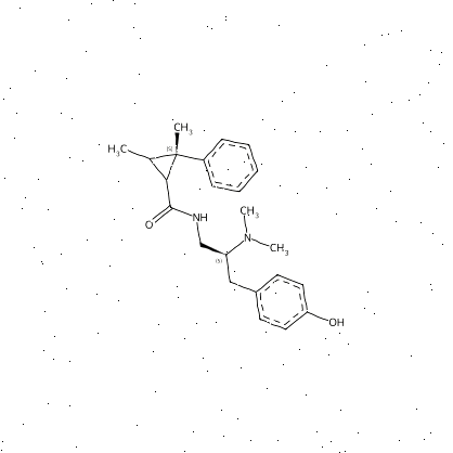 CC1C(C(=O)NC[C@H](Cc2ccc(O)cc2)N(C)C)[C@@]1(C)c1ccccc1